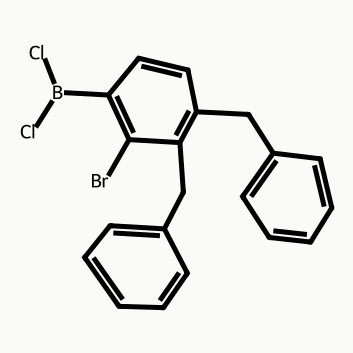 ClB(Cl)c1ccc(Cc2ccccc2)c(Cc2ccccc2)c1Br